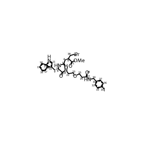 COC(=O)[C@@H](CC(=O)N[C@@H](Cc1c[nH]c2ccccc12)C(=O)NCCOCCC(=O)NCc1ccc(I)cc1)CC(C)C